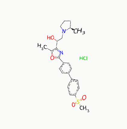 Cc1oc(-c2ccc(-c3ccc(S(C)(=O)=O)cc3)cc2)nc1C(O)CN1CCC[C@H]1C.Cl